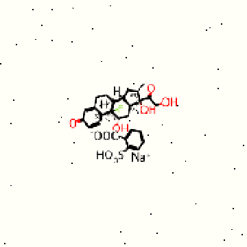 C[C@@H]1C[C@H]2[C@@H]3CCC4=CC(=O)C=C[C@]4(C)[C@@]3(F)[C@@H](O)C[C@]2(C)[C@@]1(O)C(=O)CO.O=C([O-])c1ccccc1S(=O)(=O)O.[Na+]